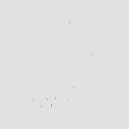 C#Cc1ccc(CNC(=O)[C@@H]2C[C@@H](O)CN2C(=O)[C@@H](NC(=O)[C@H]2CCC3(CC2)C[C@H](N2CCC(N(C)CCN4CCN5c6cc(-c7ccccc7O)nnc6NC[C@H]5C4)CC2)C3)C(C)(C)C)cc1